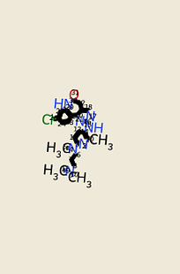 Cc1nc(N(C)CCCN(C)C)ccc1Nc1ncc2c(n1)-c1ccc(Cl)cc1NC(=O)C2